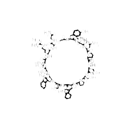 CCCC[C@H]1C(=O)N(C)[C@@H](CCCC)C(=O)N[C@@H](CCCNC(=N)N)C(=O)NC(C(=O)NCC(N)=O)CSCC(=O)N[C@@H](Cc2ccc(O)cc2)C(=O)N(C)[C@@H](C)C(=O)N[C@@H](CC(N)=O)C(=O)N2CCC[C@H]2C(=O)N[C@@H](CO)C(=O)N[C@@H](CO)C(=O)N2CCC[C@H]2C(=O)N[C@@H](Cc2c[nH]c3ccccc23)C(=O)N[C@@H](CO)C(=O)N[C@@H](Cc2csc3ccccc23)C(=O)N1C